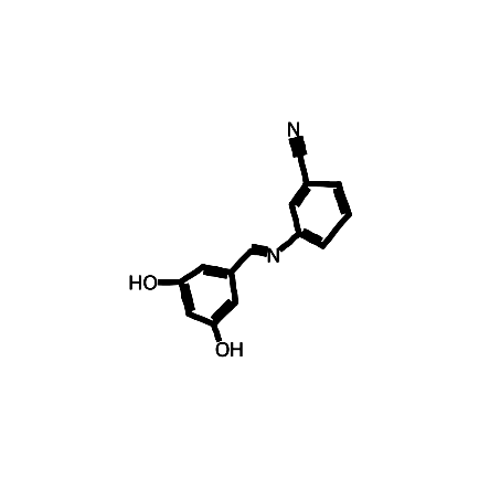 N#Cc1cccc(N=Cc2cc(O)cc(O)c2)c1